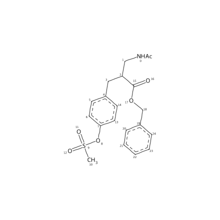 CC(=O)NCC(Cc1ccc(OS(C)(=O)=O)cc1)C(=O)OCc1ccccc1